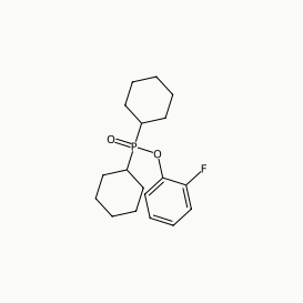 O=P(Oc1ccccc1F)(C1CCCCC1)C1CCCCC1